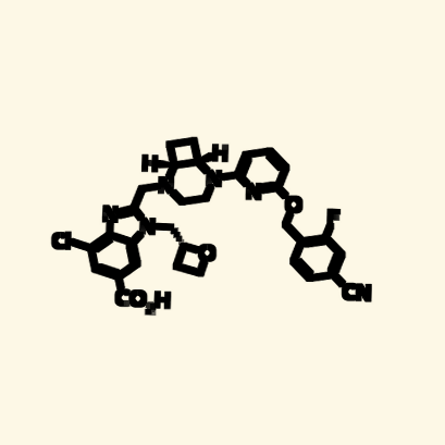 N#Cc1ccc(COc2cccc(N3CCN(Cc4nc5c(Cl)cc(C(=O)O)cc5n4C[C@H]4CCO4)[C@@H]4CC[C@@H]43)n2)c(F)c1